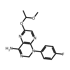 COC(C)Oc1cnc2c(n1)C(N)=NCN2c1ccc(F)cc1